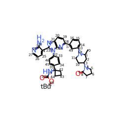 CC1CC(N2CCCC2=O)CCN1c1cccc(-c2ccc3nc(-c4cccnc4N)n(-c4ccc(C5(NC(=O)OC(C)(C)C)CCC5)cc4)c3n2)c1